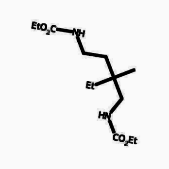 CCOC(=O)NCCC(C)(CC)CNC(=O)OCC